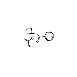 NC(=O)OC1(CC(=O)c2ccccc2)CCC1